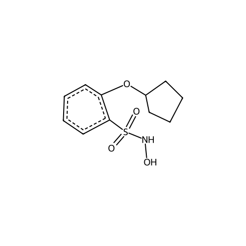 O=S(=O)(NO)c1ccccc1OC1CCCC1